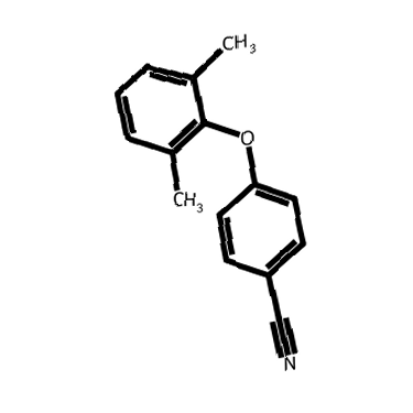 Cc1cccc(C)c1Oc1ccc(C#N)cc1